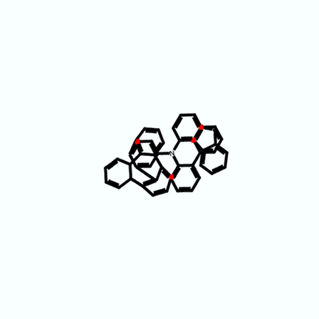 C1=CC2c3cccc4c3-c3cc(N(c5ccccc5-c5ccccc5)c5cccc6sc7ccccc7c56)ccc3-c3cccc-4c3C2C=C1